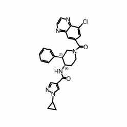 O=C(N[C@@H]1CCN(C(=O)c2cc(Cl)c3nccnc3c2)C[C@@H]1c1ccccc1)c1cnn(C2CC2)c1